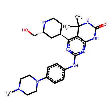 CN1CCN(c2ccc(Nc3nc4c(c([C@H]5CCN[C@@H](CO)C5)n3)C(C)(C)NC(=O)N4)cc2)CC1